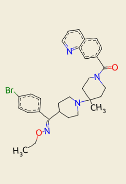 CCON=C(c1ccc(Br)cc1)C1CCN(C2(C)CCN(C(=O)c3ccc4cccnc4c3)CC2)CC1